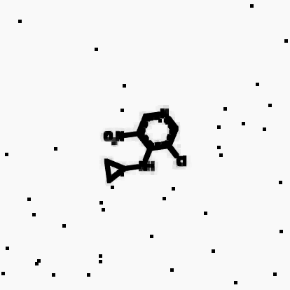 O=[N+]([O-])c1cncc(Cl)c1NC1CC1